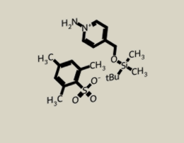 CC(C)(C)[Si](C)(C)OCc1cc[n+](N)cc1.Cc1cc(C)c(S(=O)(=O)[O-])c(C)c1